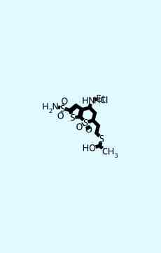 CCNC1CC(CCSC(C)O)S(=O)(=O)c2sc(S(N)(=O)=O)cc21.Cl